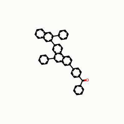 O=C(c1ccccc1)c1ccc(-c2ccc3c(c2)cc(-c2ccccc2)c2cc(-c4cc5ccccc5cc4-c4ccccc4)ccc23)cc1